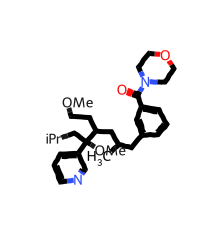 COCCC(CC(C)Cc1cccc(C(=O)N2CCOCC2)c1)C(CC(C)C)(OC)c1cccnc1